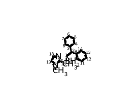 BC=C(c1ccccc1)c1ccccc1.Cc1nccn1C